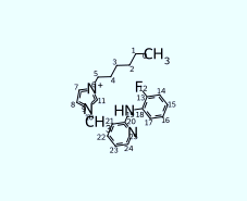 CCCCCC[n+]1ccn(C)c1.Fc1ccccc1Nc1ccccn1